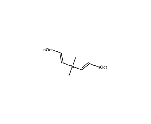 CCCCCCCCC=C[Si](C)(C)C=CCCCCCCCC